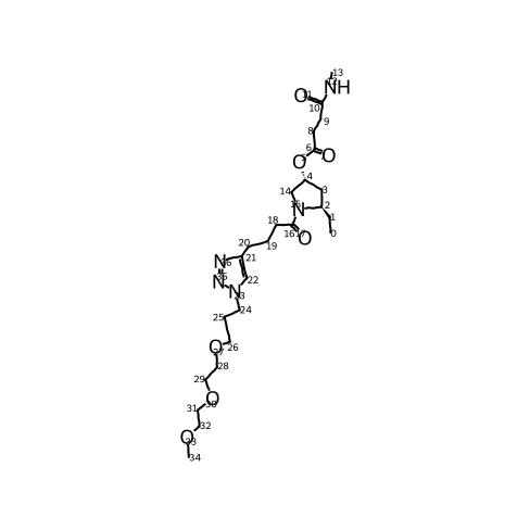 CC[C@@H]1C[C@@H](OC(=O)CCC(=O)NC)CN1C(=O)CCCc1cn(CCCOCCOCCOC)nn1